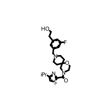 CC(C)c1csc(C(=O)N2CCOC3(CCN(Cc4cc(F)cc(CCO)c4)CC3)C2)n1